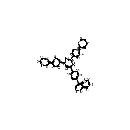 c1ccc(-c2ccc(-c3nc(-c4ccc(-c5cccnc5)cc4)cc(-c4ccc(-c5cccc6cccnc56)cc4)n3)cc2)cc1